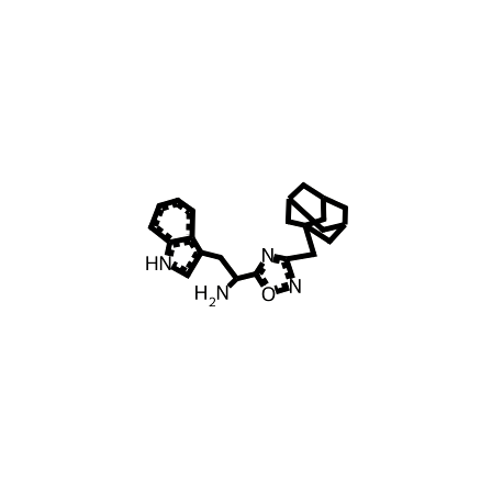 NC(Cc1c[nH]c2ccccc12)c1nc(CC23CC4CC(CC(C4)C2)C3)no1